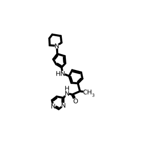 CC(C(=O)Nc1ccncn1)c1cccc(Nc2ccc(N3CCCCC3)cc2)c1